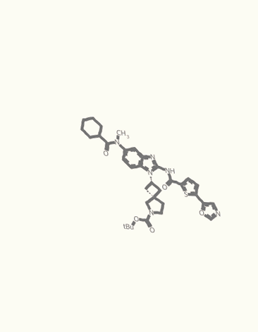 CN(C(=O)C1CCCCC1)c1ccc2c(c1)nc(NC(=O)c1ccc(-c3cnco3)s1)n2[C@H]1C[C@@]2(CCN(C(=O)OC(C)(C)C)C2)C1